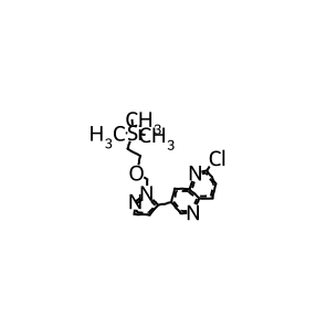 C[Si](C)(C)CCOCn1nccc1-c1cnc2ccc(Cl)nc2c1